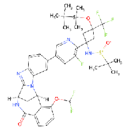 CC(C)(C)[S@@+]([O-])NC1(c2ncc(-c3ccc4nc5n(c4c3)[C@@H]3C[C@H]5NC(=O)c4cccc(OC(F)F)c43)cc2F)CC(O[Si](C)(C)C(C)(C)C)(C(F)(F)F)C1